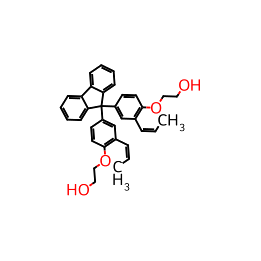 C/C=C\c1cc(C2(c3ccc(OCCO)c(/C=C\C)c3)c3ccccc3-c3ccccc32)ccc1OCCO